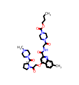 CCCCOC(=O)N1CCN(C(=O)CNC(=O)c2cc(OCC(=O)N3CCC[C@H]3C(=O)N3CCN(C)CC3)c3ccc(C)cc3n2)CC1